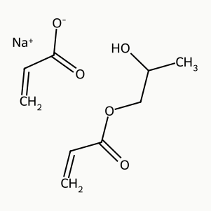 C=CC(=O)OCC(C)O.C=CC(=O)[O-].[Na+]